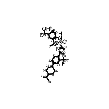 COc1cc(C(=O)O)c(F)cc1NS(=O)(=O)c1coc(-c2ccc(C3CCC(C(C)C)CC3)cc2C(F)(F)F)n1